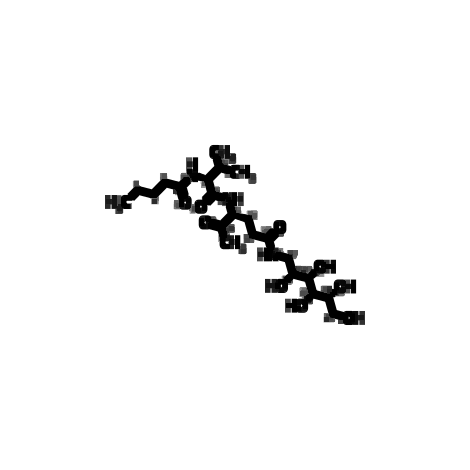 CCCCC(=O)N[C@H](C(=O)N[C@@H](CCC(=O)NC[C@H](O)[C@@H](O)[C@H](O)[C@H](O)CO)C(C)=O)C(C)C